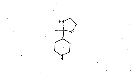 CC1(N2CCNCC2)NCCO1